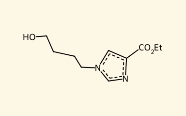 CCOC(=O)c1cn(CCCCO)cn1